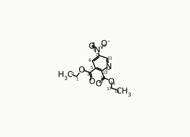 CCOC(=O)c1cc([N+](=O)[O-])cnc1C(=O)OCC